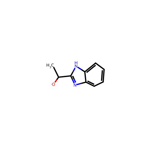 CC([O])c1nc2ccccc2[nH]1